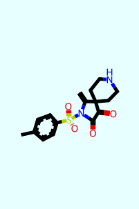 C=C1N(S(=O)(=O)c2ccc(C)cc2)C(=O)C(=O)C12CCNCC2